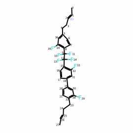 C/C=C/CCc1ccc(C(F)(F)C(F)(F)c2ccc(-c3ccc(CC/C=C/C)c(F)c3)cc2F)c(F)c1